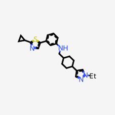 CCn1cc(C2CCC(CNc3cccc(-c4cnc(C5CC5)s4)c3)CC2)cn1